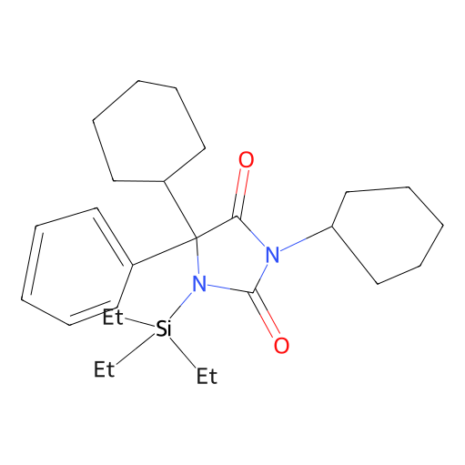 CC[Si](CC)(CC)N1C(=O)N(C2CCCCC2)C(=O)C1(c1ccccc1)C1CCCCC1